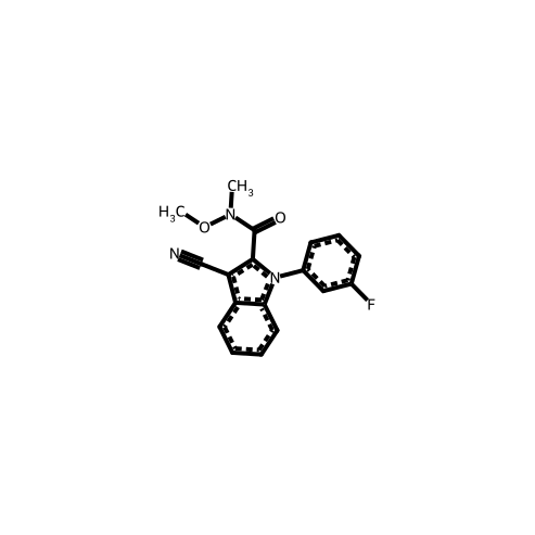 CON(C)C(=O)c1c(C#N)c2ccccc2n1-c1cccc(F)c1